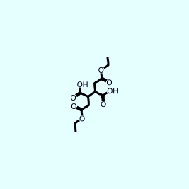 CCOC(=O)CC(C(=O)O)C(CC(=O)OCC)C(=O)O